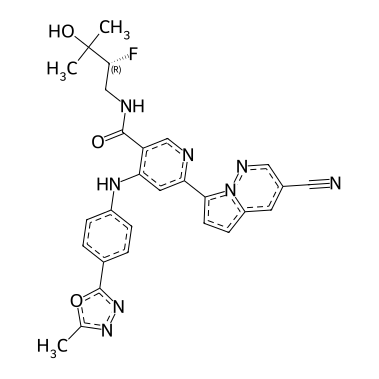 Cc1nnc(-c2ccc(Nc3cc(-c4ccc5cc(C#N)cnn45)ncc3C(=O)NC[C@@H](F)C(C)(C)O)cc2)o1